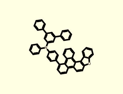 c1ccc(-c2cc(-c3ccccc3)cc(N(c3ccccc3)c3ccc(-c4cccc5c6ccc7oc8ccccc8c7c6c6ccccc6c45)cc3)c2)cc1